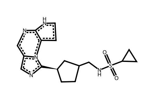 O=S(=O)(NCC1CC[C@@H](c2ncc3cnc4[nH]ccc4n23)C1)C1CC1